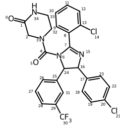 O=C1CN(C(=O)N2C(c3ccccc3Cl)=NC(c3ccc(Cl)cc3)C2c2cccc(C(F)(F)F)c2)CCN1